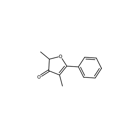 CC1=C(c2ccccc2)OC(C)C1=O